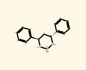 c1ccc([C@H]2C[C@H](c3ccccc3)SPO2)cc1